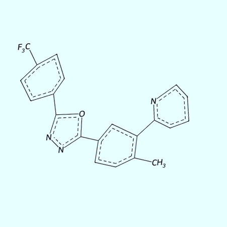 Cc1ccc(-c2nnc(-c3ccc(C(F)(F)F)cc3)o2)cc1-c1ccccn1